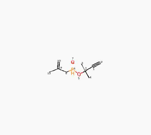 C#CC(C)(C)O[PH](=O)CC(=C)C